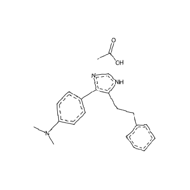 CC(=O)O.CN(C)c1ccc(-c2nc[nH]c2CCc2ccccc2)cc1